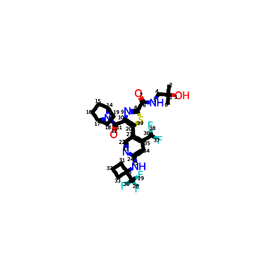 CC(C)(O)CNC(=O)c1nc(C(=O)N2C3CCC2CC3)c(-c2cnc(NC3(C(F)(F)F)CCC3)cc2C(F)F)s1